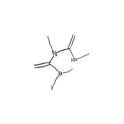 C=C(NC)N(C)C(=C)B(C)F